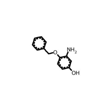 Nc1cc(O)ccc1OCc1ccccc1